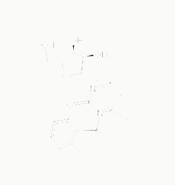 Cc1ccccc1C(=O)n1c(=O)ccn([C@@H]2O[C@H](CO)[C@@H](O)[C@H]2O)c1=O